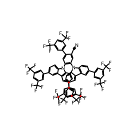 N#Cc1cc(-n2c3ccc(-c4cc(C(F)(F)F)cc(C(F)(F)F)c4)cc3c3cc(-c4cc(C(F)(F)F)cc(C(F)(F)F)c4)ccc32)c(-n2c3ccc(-c4cc(C(F)(F)F)cc(C(F)(F)F)c4)cc3c3cc(-c4cc(C(F)(F)F)cc(C(F)(F)F)c4)ccc32)cc1-c1cc(C(F)(F)F)cc(C(F)(F)F)c1